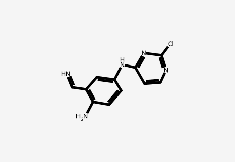 N=Cc1cc(Nc2ccnc(Cl)n2)ccc1N